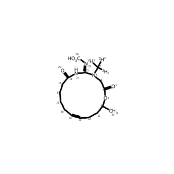 [2H]C([2H])([2H])N1CC(=O)OC(C)CCC=CCCCCC(=O)N/C1=N\C(=O)O